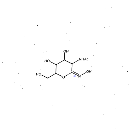 CC(=O)NC1/C(=N\O)OC(CO)C(O)C1O